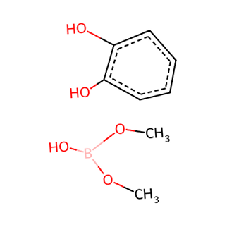 COB(O)OC.Oc1ccccc1O